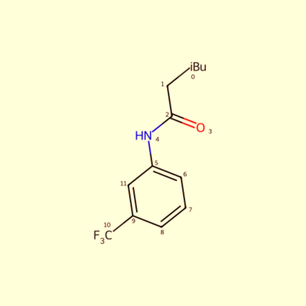 CCC(C)CC(=O)Nc1cccc(C(F)(F)F)c1